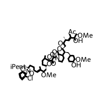 CCC[C@H](C)C1CCC(/C=C(\C)[C@H](C[C@@H]2CCC(C)C(O)(C(=O)C(=O)N3CCCC4C3C(=O)O[C@@H](CC(=O)[C@H](C)/C=C(\C)C(O)[C@@H](OC)C(C)=O)[C@H]4C[C@@H]3CCC(O)[C@H](OC)C3)O2)OC)ON1c1c(Cl)cccc1Cl